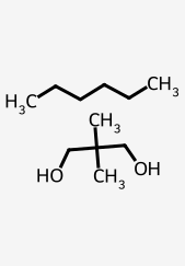 CC(C)(CO)CO.CCCCCC